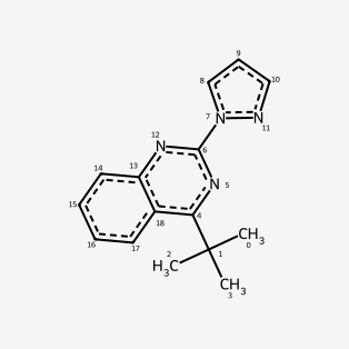 CC(C)(C)c1nc(-n2cccn2)nc2ccccc12